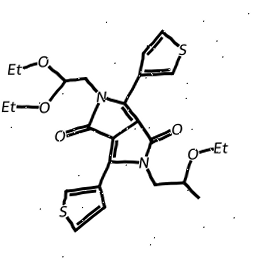 CCOC(C)CN1C(=O)C2=C(c3ccsc3)N(CC(OCC)OCC)C(=O)C2=C1c1ccsc1